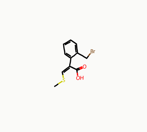 CS/C=C(\C(=O)O)c1ccccc1CBr